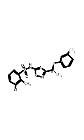 Cc1c(Cl)cccc1S(=O)(=O)Nc1nc([C@@H](C)Sc2cccc(C(F)(F)F)c2)ns1